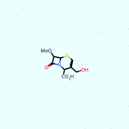 COC1C(=O)N2C(C(=O)O)C(CO)=CSC12